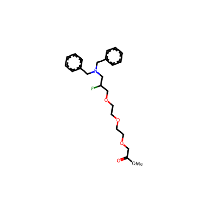 COC(=O)COCCOCCOCC(F)CN(Cc1ccccc1)Cc1ccccc1